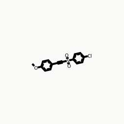 COc1ccc(C#CS(=O)(=O)c2ccc(Cl)cc2)cc1